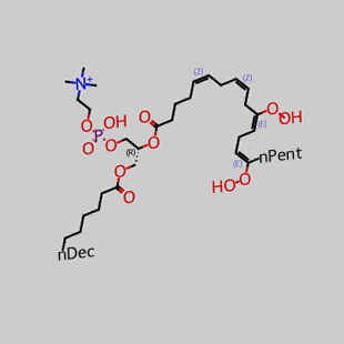 CCCCCCCCCCCCCCCC(=O)OC[C@H](COP(=O)(O)OCC[N+](C)(C)C)OC(=O)CCC/C=C\C/C=C\C/C(=C\C/C=C(\CCCCC)OO)OO